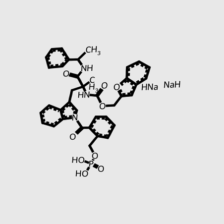 CC(NC(=O)C(C)(Cc1cn(C(=O)c2ccccc2COP(=O)(O)O)c2ccccc12)NC(=O)OCc1cc2ccccc2o1)c1ccccc1.[NaH].[NaH]